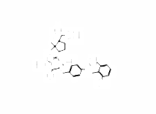 CC1(C)[C@@H](C(=O)N[C@@H](Cc2ccc(OCc3c(Cl)cccc3Cl)cc2)C(=O)O)CC[C@@]1(C)C(=O)O